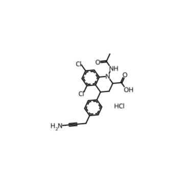 CC(=O)NN1c2cc(Cl)cc(Cl)c2C(c2ccc(CC#CN)cc2)CC1C(=O)O.Cl